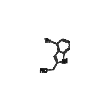 CC(C)c1cccc2[nH]c(CO)cc12